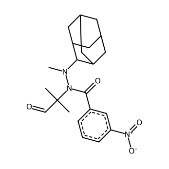 CN(C1C2CC3CC(C2)CC1C3)N(C(=O)c1cccc([N+](=O)[O-])c1)C(C)(C)C=O